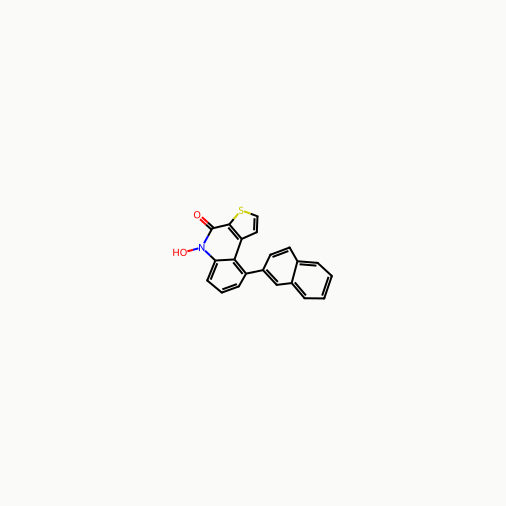 O=c1c2sccc2c2c(-c3ccc4ccccc4c3)cccc2n1O